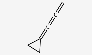 C=C=C=C1CC1